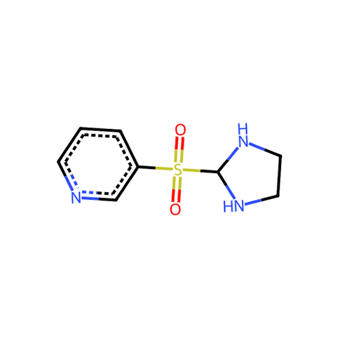 O=S(=O)(c1cccnc1)C1NCCN1